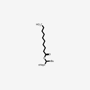 CCCCCCCC(CCCC)OC(=O)CCCCCCCCC(=O)O